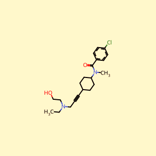 CCN(CC#CC1CCC(N(C)C(=O)c2ccc(Cl)cc2)CC1)CCO